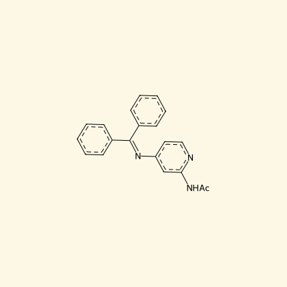 CC(=O)Nc1cc(N=C(c2ccccc2)c2ccccc2)ccn1